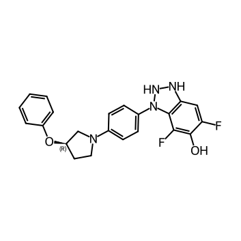 Oc1c(F)cc2c(c1F)N(c1ccc(N3CC[C@@H](Oc4ccccc4)C3)cc1)NN2